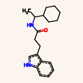 CC(NC(=O)CCc1c[nH]c2ccccc12)C1CCCCC1